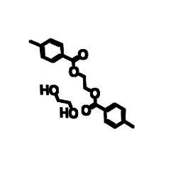 Cc1ccc(C(=O)OCCOC(=O)c2ccc(C)cc2)cc1.OCCO